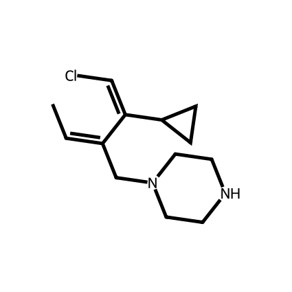 C/C=C(CN1CCNCC1)\C(=C/Cl)C1CC1